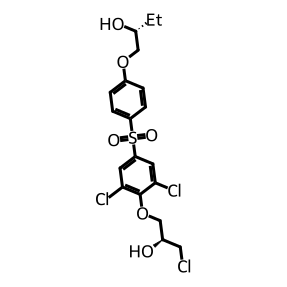 CC[C@@H](O)COc1ccc(S(=O)(=O)c2cc(Cl)c(OC[C@H](O)CCl)c(Cl)c2)cc1